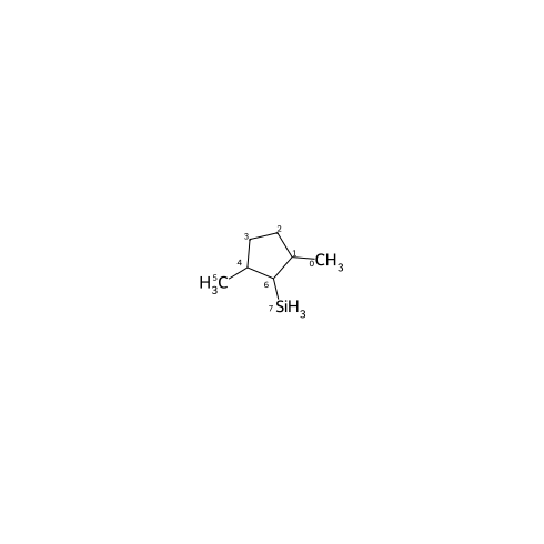 CC1CCC(C)C1[SiH3]